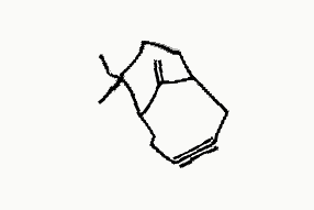 C=C1C2CC#CCC1C(C)(C)CC2